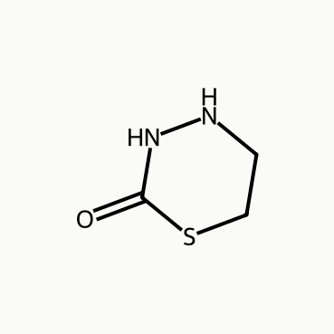 O=C1NNCCS1